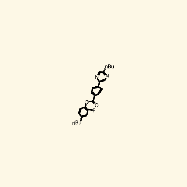 CCCCc1ccc(OC(=O)c2ccc(-c3cnc(CCCC)cn3)cc2)c(F)c1